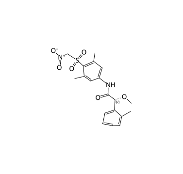 CO[C@@H](C(=O)Nc1cc(C)c(S(=O)(=O)C[N+](=O)[O-])c(C)c1)c1ccccc1C